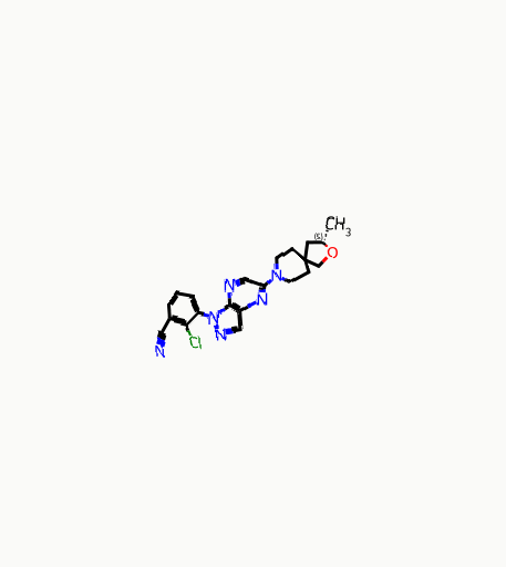 C[C@H]1CC2(CCN(c3cnc4c(cnn4-c4cccc(C#N)c4Cl)n3)CC2)CO1